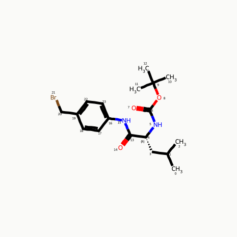 CC(C)C[C@@H](NC(=O)OC(C)(C)C)C(=O)Nc1ccc(CBr)cc1